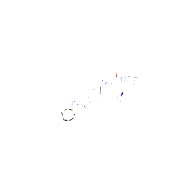 N#CC1CC(F)CN1C(=O)CNC1C2CN(C(=O)Nc3ccc(Cl)cc3)CC21